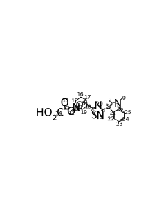 Cn1cc(-c2nsc(C3C[N+]4(OC(=O)C(=O)O)CCC3CC4)n2)c2ccccc21